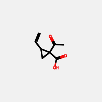 C=CC1CC1(C(C)=O)C(=O)O